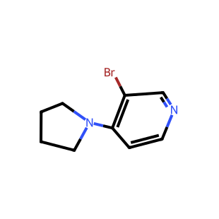 Brc1cnccc1N1CCCC1